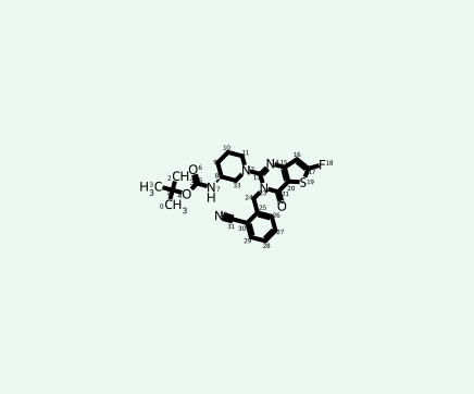 CC(C)(C)OC(=O)N[C@@H]1CCCN(c2nc3cc(F)sc3c(=O)n2Cc2ccccc2C#N)C1